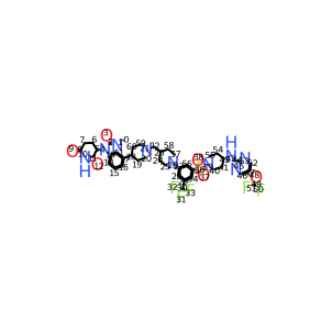 Cn1c(=O)n(C2CCC(=O)NC2=O)c2cccc(C3CCN(CC4CCN(c5cc(C(F)(F)F)cc(S(=O)(=O)N6CCC(Nc7ncc(OC(F)F)cn7)CC6)c5)CC4)CC3)c21